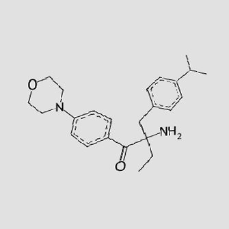 CCC(N)(Cc1ccc(C(C)C)cc1)C(=O)c1ccc(N2CCOCC2)cc1